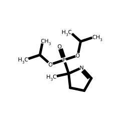 CC(C)OP(=O)(OC(C)C)C1(C)CCC=N1